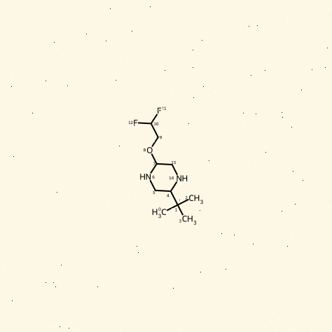 CC(C)(C)C1CNC(OCC(F)F)CN1